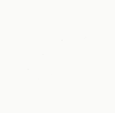 CC([O])c1ccc2ccccc2c1